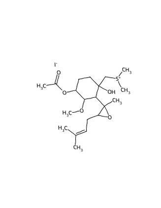 COC1C(OC(C)=O)CCC(O)(C[S+](C)C)C1C1(C)OC1CC=C(C)C.[I-]